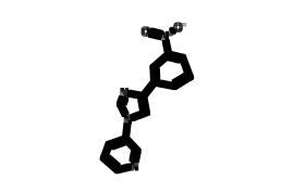 O=[N+]([O-])c1cccc(-c2cn(-c3cccnc3)cn2)c1